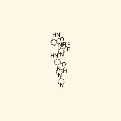 CNC(=O)c1ccccc1Nc1cc(Nc2ccc3c(c2)OC[C@@H]2CN(C4CCN(C)CC4)CCN32)ncc1C(F)(F)F